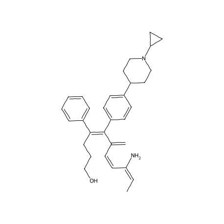 C=C(/C=C\C(N)=C/C)/C(=C(\CCCO)c1ccccc1)c1ccc(C2CCN(C3CC3)CC2)cc1